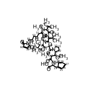 CCC(C)[C@@H]([C@@H](CC(=O)N1CCCC1C(OC)C(C)C(=O)NC(Cc1ccccc1)C(=O)O)OC)N(C)C(=O)[C@@H](NC(=O)C(C(C)C)N(C)C(=O)CCCCCN1C(=O)C=CC1=O)C(C)C